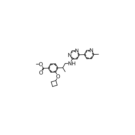 COC(=O)c1ccc(C(C)CNc2cc(-c3ccc(C)nc3)ncn2)c(OC2CCC2)c1